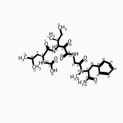 CC[C@H](C)C(NC(=O)[C@H](CC(C)C)NC(=O)O)C(=O)C(=O)NCC(=O)N(C)C(Cc1ccccc1)C(N)=O